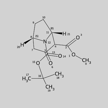 COC(=O)C1C(=O)C[C@@H]2CC[C@H]1N2C(=O)OC(C)(C)C